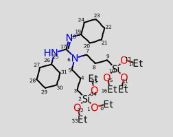 CCO[Si](CCCN(CCC[Si](OCC)(OCC)OCC)/C(=N\C1CCCCC1)NC1CCCCC1)(OCC)OCC